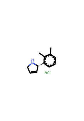 Cc1cccc([C@@H]2C=CCN2)c1C.Cl